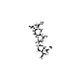 CC(BC(C)(C)c1ccc2c(c1)C(=O)OC2=O)c1ccc2c(c1)C(=O)OC2=O